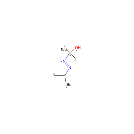 CC(N=NC(C)(O)C(C)(C)C)C(C)(C)C